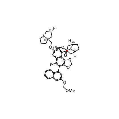 COCOc1cc(-c2c3c(c4c(N5C[C@H]6CC[C@@H](C5)N6C(=O)OC(C)(C)C)nc(OC[C@@]56CCCN5C[C@H](F)C6)nc4c2F)OCO3)c2ccccc2c1